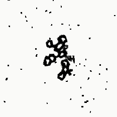 CC1(C)c2ccccc2-c2ccc(Nc3cc(-c4ccc5ccccc5c4)c4c(c3)oc3c5ccccc5c(-c5ccccc5)cc34)cc21